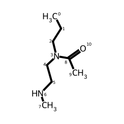 CCCN(CCNC)C(C)=O